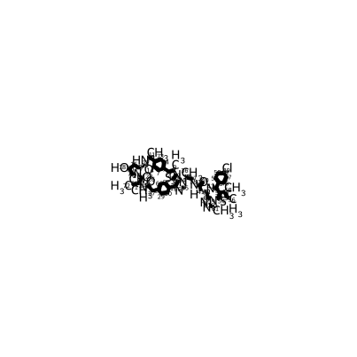 Cc1ncsc1-c1ccc([C@H](C)NC(=O)[C@@H]2C[C@@H](O)CN2C(=O)C(NC(=O)Cc2ccc(-c3cn([C@H](C)CNC(=O)C[C@@H]4N=C(c5ccc(Cl)cc5)c5c(sc(C)c5C)-n5c(C)nnc54)cn3)cc2)C(C)(C)C)cc1